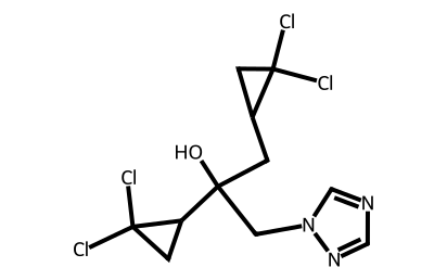 OC(CC1CC1(Cl)Cl)(Cn1cncn1)C1CC1(Cl)Cl